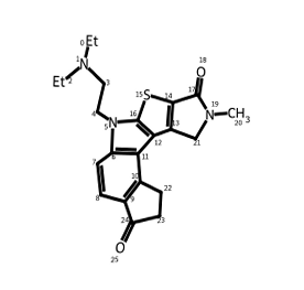 CCN(CC)CCn1c2ccc3c(c2c2c4c(sc21)C(=O)N(C)C4)CCC3=O